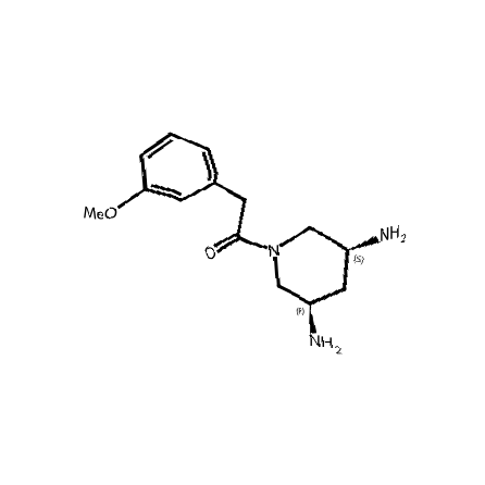 COc1cccc(CC(=O)N2C[C@H](N)C[C@H](N)C2)c1